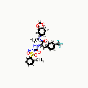 Cc1ccccc1S(=O)(=O)NC(=O)NC(Cc1ccc(C(F)(F)F)cc1)C(=O)N(C)c1ccc2c(c1)OCO2